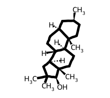 C[C@H]1CC[C@@]2(C)[C@@H](CC[C@@H]3[C@@H]2CC[C@@]2(C)[C@H]3CC(C)(C)[C@@H]2O)C1